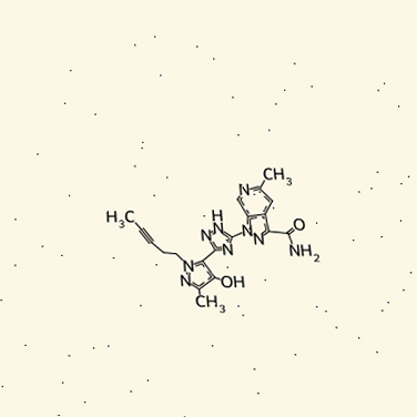 CC#CCCn1nc(C)c(O)c1-c1n[nH]c(-n2nc(C(N)=O)c3cc(C)ncc32)n1